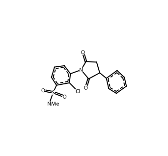 CNS(=O)(=O)c1cccc(N2C(=O)CC(c3ccccc3)C2=O)c1Cl